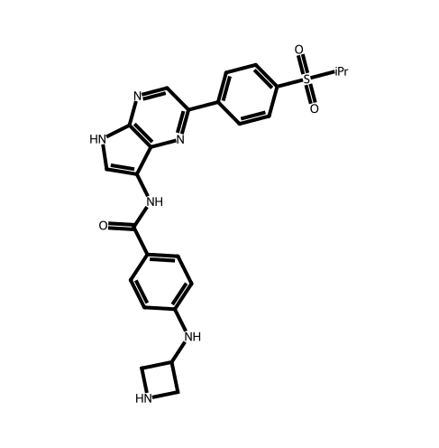 CC(C)S(=O)(=O)c1ccc(-c2cnc3[nH]cc(NC(=O)c4ccc(NC5CNC5)cc4)c3n2)cc1